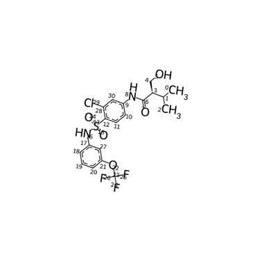 CC(C)[C@H](CO)C(=O)Nc1ccc(S(=O)(=O)Nc2cccc(OC(F)(F)F)c2)c(Cl)c1